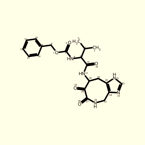 CC(C)C(NC(=O)OCc1ccccc1)C(=O)NC1Cc2[nH]cnc2CNC(=O)C1=O